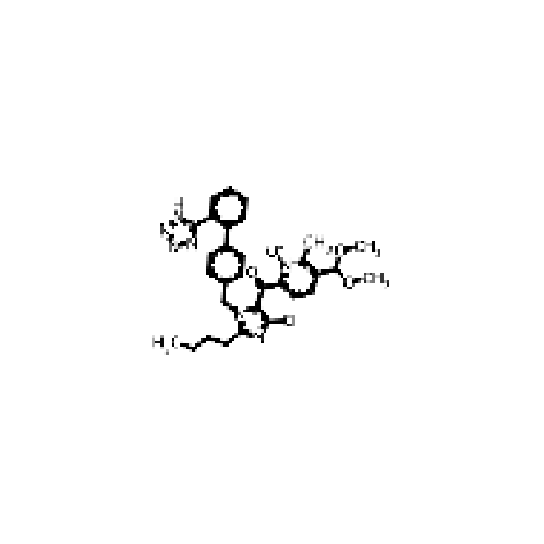 CCCCc1nc(Cl)c(C(=O)c2ccc(C(OC)OC)c(C)[n+]2[O-])n1Cc1ccc(-c2ccccc2-c2nnn[nH]2)cc1